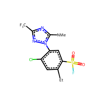 CCc1cc(Cl)c(-n2nc(C(F)(F)F)nc2NC)cc1S(=O)(=O)F